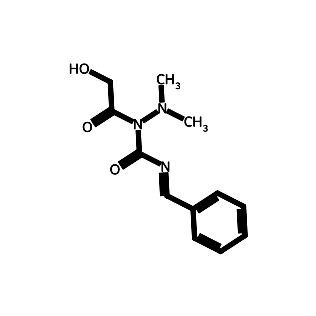 CN(C)N(C(=O)CO)C(=O)N=Cc1ccccc1